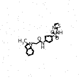 Cc1cc2ccccc2n1CCC(=O)Nc1ccc(S(=O)(=O)Nc2nccs2)cc1